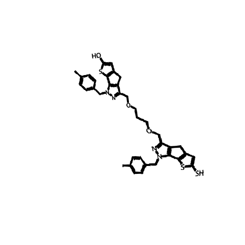 Cc1ccc(Cn2nc(COCCCOCc3nn(Cc4ccc(C)cc4)c4c3Cc3cc(S)sc3-4)c3c2-c2sc(O)cc2C3)cc1